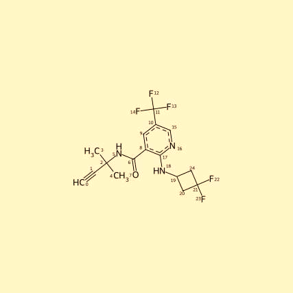 C#CC(C)(C)NC(=O)c1cc(C(F)(F)F)cnc1NC1CC(F)(F)C1